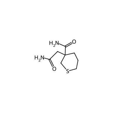 NC(=O)CC1(C(N)=O)CCCSC1